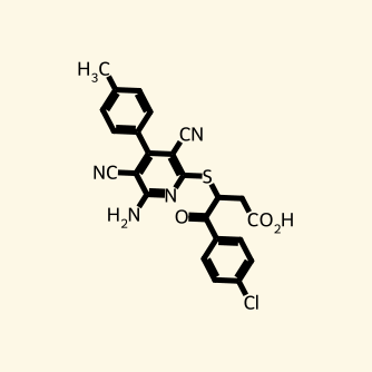 Cc1ccc(-c2c(C#N)c(N)nc(SC(CC(=O)O)C(=O)c3ccc(Cl)cc3)c2C#N)cc1